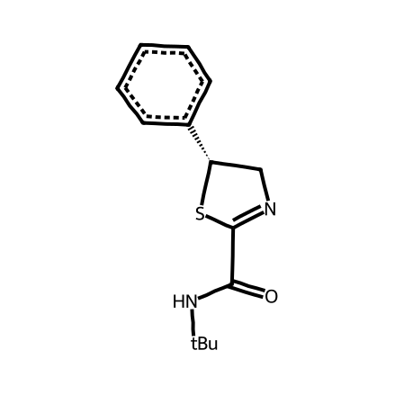 CC(C)(C)NC(=O)C1=NC[C@@H](c2ccccc2)S1